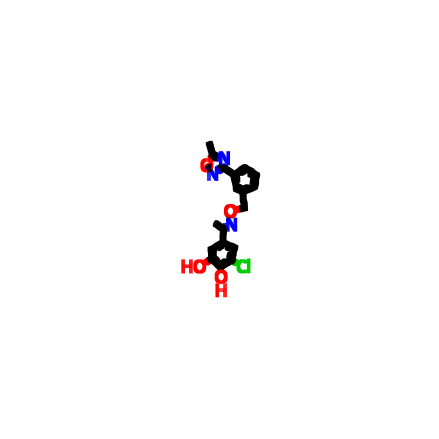 C/C(=N\OCc1cccc(-c2noc(C)n2)c1)c1cc(O)c(O)c(Cl)c1